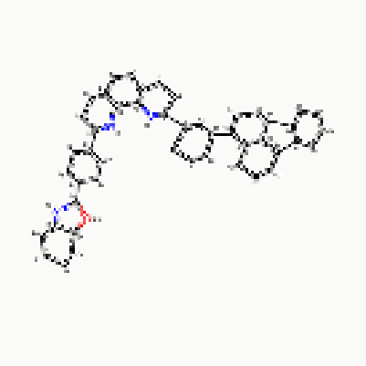 c1cc(-c2ccc3ccc4ccc(-c5ccc(-c6nc7ccccc7o6)cc5)nc4c3n2)cc(-c2ccc3c4c(cccc24)-c2ccccc2-3)c1